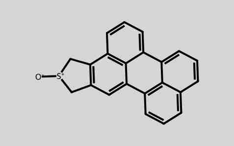 [O-][S+]1Cc2cc3c4cccc5cccc(c6cccc(c2C1)c63)c54